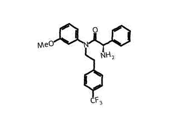 COc1cccc(N(CCc2ccc(C(F)(F)F)cc2)C(=O)[C@H](N)c2ccccc2)c1